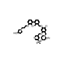 CC(=O)[C@@H]1CCCCN1Cc1cc(Cl)c(OCc2cccc(-c3cccc(OCCCN4CC[C@@H](O)C4)c3Cl)c2C)cc1OCc1cncc(S(C)(=O)=O)c1